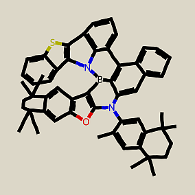 Cc1cc2c(cc1N1c3cc4ccccc4c4c3B(c3c1oc1cc5c(cc31)C(C)(C)CCC5(C)C)n1c3c-4cccc3c3sc4ccccc4c31)C(C)(C)CCC2(C)C